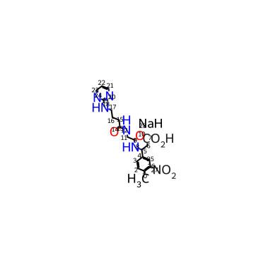 Cc1ccc(C(CC(=O)O)NC(=O)CNC(=O)CCCNc2ncccn2)cc1[N+](=O)[O-].[NaH]